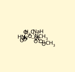 CCCc1nc(C)n(-c2ccc3c(c2)CC(C)O3)c(=O)c1Cc1ccc(-c2ccccc2-c2noc(=O)[nH]2)cc1.[NaH]